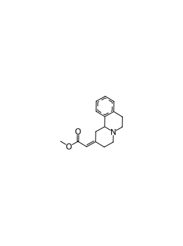 COC(=O)C=C1CCN2CCc3ccccc3C2C1